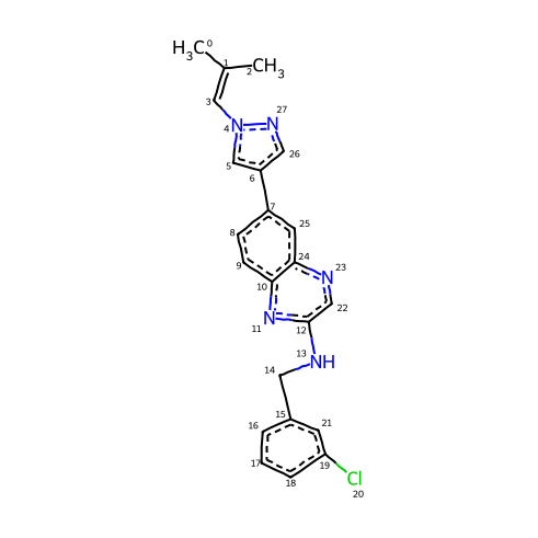 CC(C)=Cn1cc(-c2ccc3nc(NCc4cccc(Cl)c4)cnc3c2)cn1